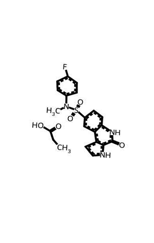 CCC(=O)O.CN(c1ccc(F)cc1)S(=O)(=O)c1ccc2[nH]c(=O)c3[nH]ccc3c2c1